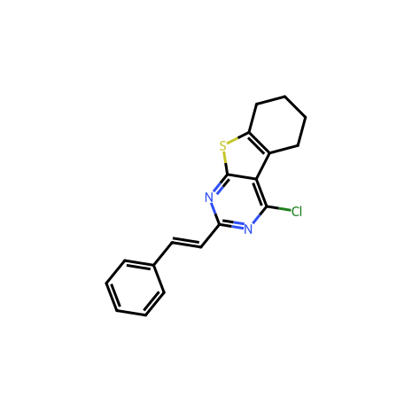 Clc1nc(C=Cc2ccccc2)nc2sc3c(c12)CCCC3